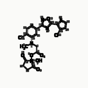 CN(CC(=O)O[N+]1(O)C(=O)CCC1=O)c1cc(-c2noc(-c3sccc3Cl)n2)ccc1Cl